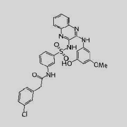 COc1cc(O)cc(Nc2nc3ccccc3nc2NS(=O)(=O)c2cccc(NC(=O)Cc3cccc(Cl)c3)c2)c1